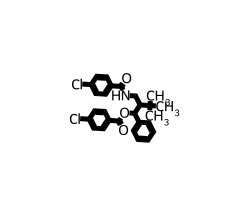 CC(C)(C)C(CNC(=O)c1ccc(Cl)cc1)C(OC(=O)c1ccc(Cl)cc1)c1ccccc1